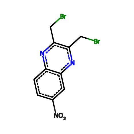 O=[N+]([O-])c1ccc2nc(CBr)c(CBr)nc2c1